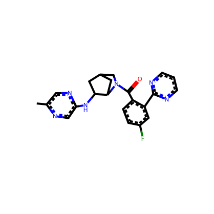 Cc1cnc(NC2CC3CC2N(C(=O)c2ccc(F)cc2-c2ncccn2)C3)cn1